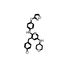 Clc1ccc(Cc2cc(NC3CCOCC3)cnc2Nc2ccc(Oc3ccon3)cc2)cc1